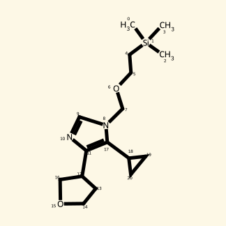 C[Si](C)(C)CCOCn1cnc(C2CCOC2)c1C1CC1